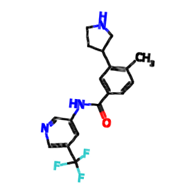 Cc1ccc(C(=O)Nc2cncc(C(F)(F)F)c2)cc1C1CCNC1